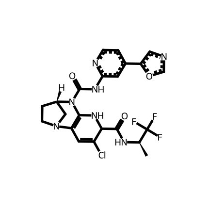 C[C@@H](NC(=O)C1NC2=C(C=C1Cl)N1CC[C@@H](C1)N2C(=O)Nc1cc(-c2cnco2)ccn1)C(F)(F)F